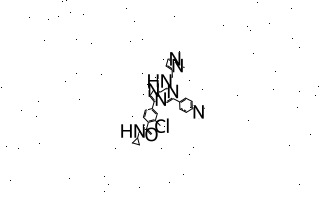 CN(C)c1ccc(-c2cn3c(-c4ccc(C(=O)NC5CC5)c(Cl)c4)cnc3c(NCc3ccnn3C)n2)cc1